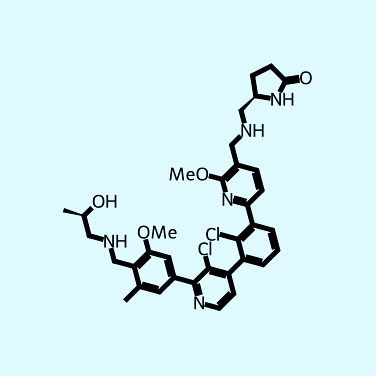 COc1cc(-c2nccc(-c3cccc(-c4ccc(CNC[C@H]5CCC(=O)N5)c(OC)n4)c3Cl)c2Cl)cc(C)c1CNC[C@@H](C)O